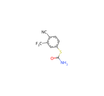 N#Cc1ccc(SC(N)=O)cc1C(F)(F)F